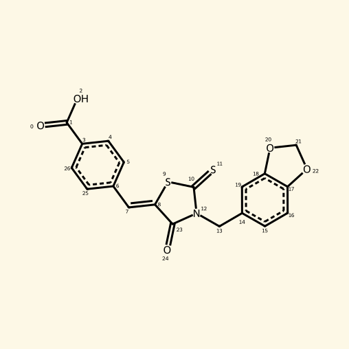 O=C(O)c1ccc(C=C2SC(=S)N(Cc3ccc4c(c3)OCO4)C2=O)cc1